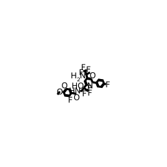 COc1cc(F)c(C(=O)NCC(O)(c2cc3c(c(-c4ccc(F)cc4)n2)OC[C@@]3(N)C(F)(F)F)C(F)(F)F)cc1OC